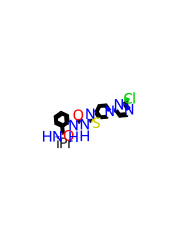 CC(C)NC(=O)c1ccccc1NC(=O)Nc1nc2c(s1)CN(c1ccnc(Cl)n1)CC2